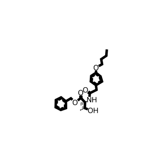 CCCCOc1ccc(CC(=O)N[C@@H](C(=O)OCc2ccccc2)[C@@H](C)O)cc1